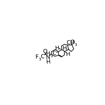 C[C@]12CCC(NC(=O)C(F)(F)F)CC1=CC[C@@H]1[C@H]2CC[C@]2(C)C(=O)CC[C@@H]12